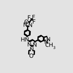 Cn1ncc2ccc(-c3cc(Nc4ccc(-c5noc(C(F)(F)F)n5)cc4)nc(N4CCOCC4)n3)cc21